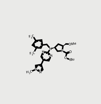 COC[C@@H]1C[C@H](N(Cc2cc(C(F)(F)F)cc(C(F)(F)F)c2)c2ncc(-c3cnn(C)c3)cn2)CN1C(=O)OC(C)(C)C